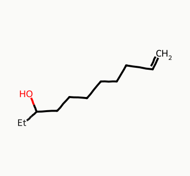 C=CCCCCCCC(O)CC